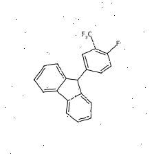 Fc1ccc(C2c3ccccc3-c3ccccc32)cc1C(F)(F)F